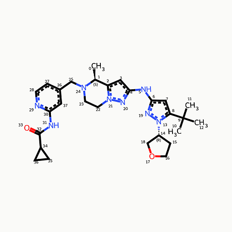 C[C@H]1c2cc(Nc3cc(C(C)(C)C)n([C@@H]4CCOC4)n3)nn2CCN1Cc1ccnc(NC(=O)C2CC2)c1